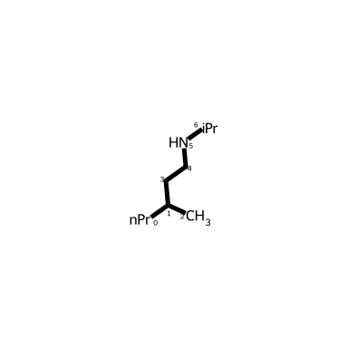 CCCC(C)CCNC(C)C